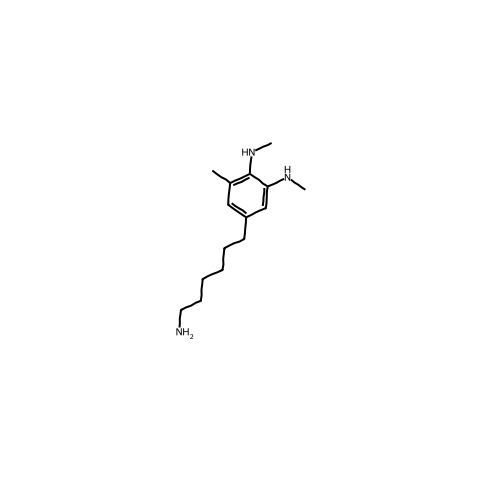 CNc1cc(CCCCCCN)cc(C)c1NC